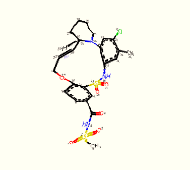 CS(=O)(=O)NC(=O)c1ccc2c(c1)S(=O)(=O)Nc1cc(C#N)c(Cl)cc1N1CCCC[C@H]1/C=C/CO2